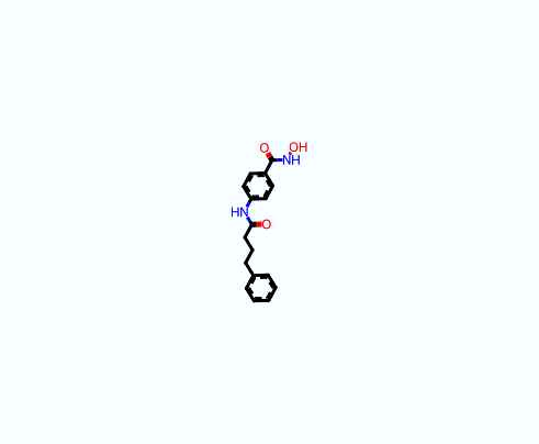 O=C(CCCc1ccccc1)Nc1ccc(C(=O)NO)cc1